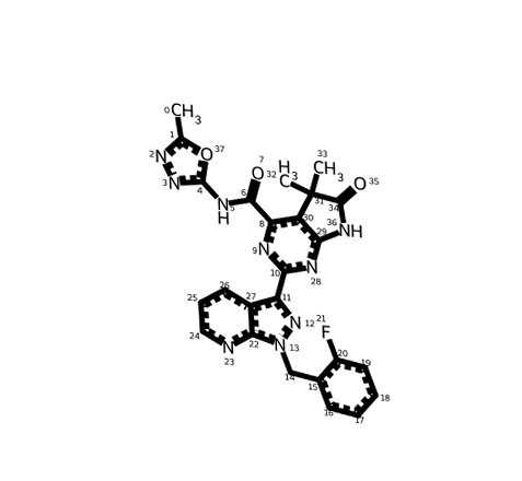 Cc1nnc(NC(=O)c2nc(-c3nn(Cc4ccccc4F)c4ncccc34)nc3c2C(C)(C)C(=O)N3)o1